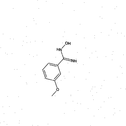 COc1[c]ccc(C(=N)NO)c1